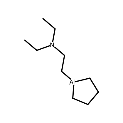 CCN(CC)C[CH2][Al]1[CH2]CC[CH2]1